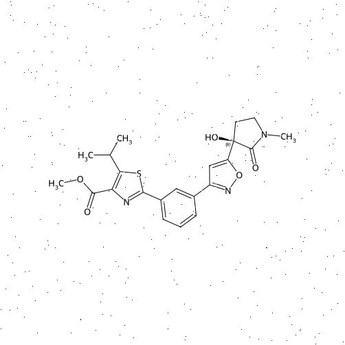 COC(=O)c1nc(-c2cccc(-c3cc([C@]4(O)CCN(C)C4=O)on3)c2)sc1C(C)C